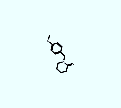 COc1ccc(CN2CCCCC2=S)cc1